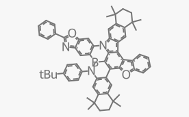 CC(C)(C)c1ccc(N2B3c4cc5nc(-c6ccccc6)oc5cc4-n4c5cc6c(cc5c5c7c(oc8ccccc87)c(c3c54)-c3cc4c(cc32)C(C)(C)CCC4(C)C)C(C)(C)CCC6(C)C)cc1